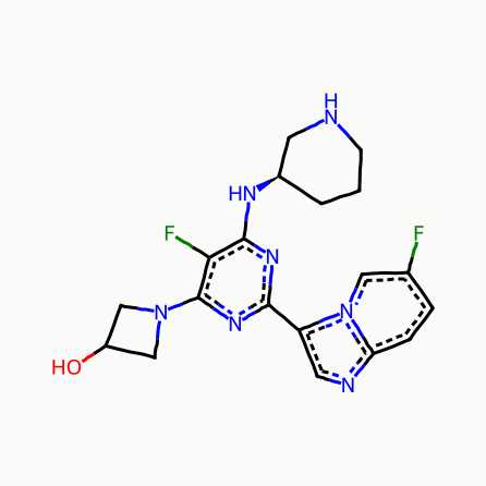 OC1CN(c2nc(-c3cnc4ccc(F)cn34)nc(N[C@@H]3CCCNC3)c2F)C1